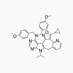 COc1ccc(CN(Cc2ccc(OC)cc2)c2ncnc3c2c2c(n3C(C)C)Cc3cccnc3-c3c-2noc3C2CC2)cc1